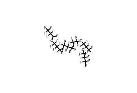 FC(OC(F)(F)C(F)(OC(F)(F)C(F)(OC(F)(F)C(F)(F)OC(F)(F)C(F)(OC(F)(F)C(F)(F)C(F)(F)F)C(F)(F)F)C(F)(F)F)C(F)(F)F)C(F)(F)C(F)(F)F